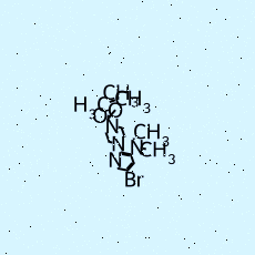 CCN(C)c1cc(Br)cnc1N1CCN(C(=O)OC(C)(C)C)CC1